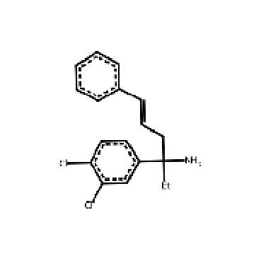 CCC(N)(CC=Cc1ccccc1)c1ccc(Cl)c(Cl)c1